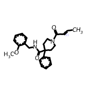 C/C=C/C(=O)N1CCC(C(=O)NCc2ccccc2OC)(c2ccccc2)CC1